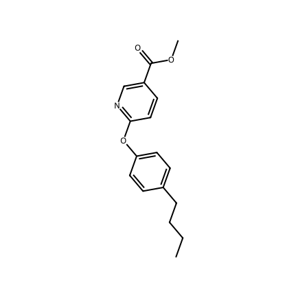 CCCCc1ccc(Oc2ccc(C(=O)OC)cn2)cc1